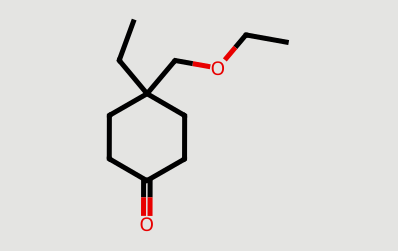 CCOCC1(CC)CCC(=O)CC1